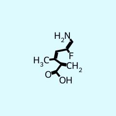 C=C(C(=O)O)/C(C)=C\C(F)=C/N